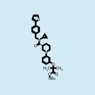 CCCCOC(=O)C(C)(C)Oc1cccc(N2CCC[C@H](C(=O)N(Cc3ccc(-c4cccs4)cc3)C3CC3)C2)c1